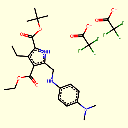 CCOC(=O)c1c(CNc2ccc(N(C)C)cc2)[nH]c(C(=O)OC(C)(C)C)c1CC.O=C(O)C(F)(F)F.O=C(O)C(F)(F)F